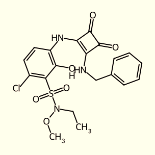 CCN(OC)S(=O)(=O)c1c(Cl)ccc(Nc2c(NCc3ccccc3)c(=O)c2=O)c1O